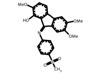 COc1cc2c(cc1OC)-c1ccc(OC)c(O)c1C2=Nc1ccc(S(C)(=O)=O)cc1